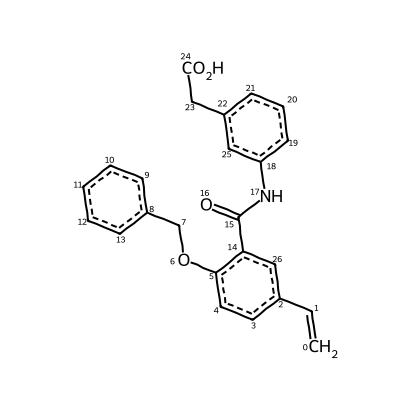 C=Cc1ccc(OCc2ccccc2)c(C(=O)Nc2cccc(CC(=O)O)c2)c1